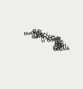 CC[C@H](C)N(Cc1nc2ccc3cc4c(cc3c2[nH]1)OCc1cc(-c2cnc([C@@H]3CC[C@H](C)N3C(=O)[C@@H](NC(=O)OC)C3(C)CCOCC3)[nH]2)ccc1-4)C(=O)[C@@H](NC(=O)OC)C(C)C